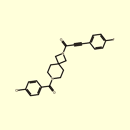 O=C(C#Cc1ccc(F)cc1)N1CC2(CCN(C(=O)c3ccc(Cl)cc3)CC2)C1